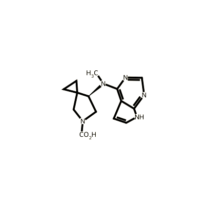 CN(c1ncnc2[nH]ccc12)[C@H]1CN(C(=O)O)CC12CC2